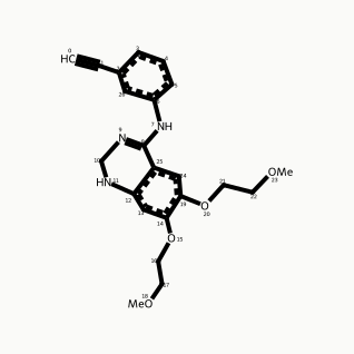 C#Cc1cccc(NC2=NCNc3cc(OCCOC)c(OCCOC)cc32)c1